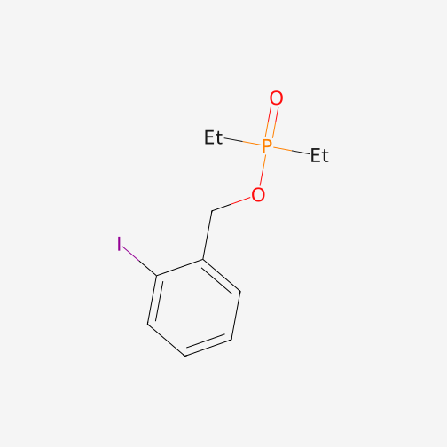 CCP(=O)(CC)OCc1ccccc1I